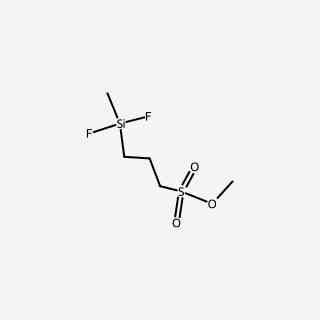 COS(=O)(=O)CCC[Si](C)(F)F